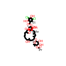 CCc1c(Cl)c(O)c(Cl)c(O)c1C(=O)O[C@H]1[C@H](O)[C@H](OC)[C@H](OC/C2=C\C=C\C[C@H](O)/C(C)=C/[C@H](CC)[C@@H](O[C@H]3OC(C)(C)[C@H](OC(=O)C(C)C)[C@@H](O)[C@H]3O)/C(C)=C/C(C)=C/C[C@@H]([C@@H](C)O)OC2=O)O[C@@H]1C